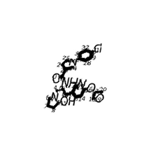 O=C(N[C@H](CN1CCCC1)[C@H](O)c1ccc(OC2COC2)nc1)C1CCN(c2ccc(Cl)cc2)C1